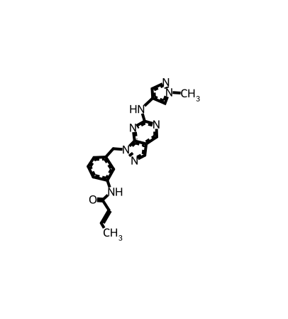 CC=CC(=O)Nc1cccc(Cn2ncc3cnc(Nc4cnn(C)c4)nc32)c1